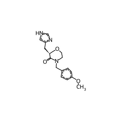 COc1ccc(CN2CCO[C@H](Cc3c[nH]cn3)C2=O)cc1